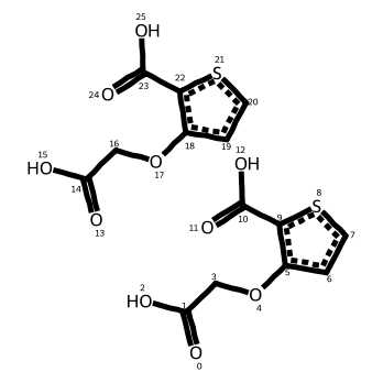 O=C(O)COc1ccsc1C(=O)O.O=C(O)COc1ccsc1C(=O)O